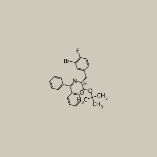 CC(C)(C)OC(=O)[C@H](Cc1ccc(F)c(Br)c1)N=C(c1ccccc1)c1ccccc1